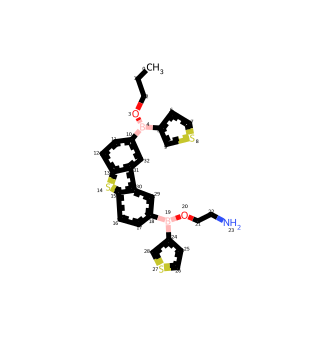 CCCOB(c1ccsc1)c1ccc2sc3ccc(B(OCCN)c4ccsc4)cc3c2c1